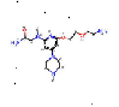 CN1CCN(c2cc(OCCOCCN)nc(N(C)CC(N)=O)c2)CC1